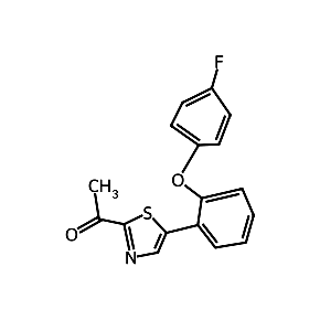 CC(=O)c1ncc(-c2ccccc2Oc2ccc(F)cc2)s1